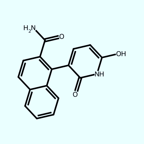 NC(=O)c1ccc2ccccc2c1-c1ccc(O)[nH]c1=O